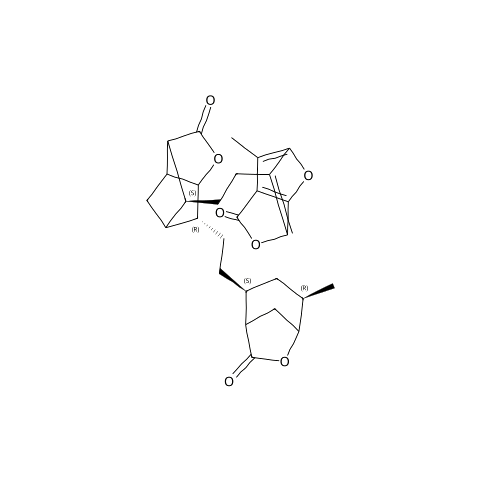 Cc1c2c3oc1c(CC[C@@H]1C4C(=O)OC5C4CC1[C@H]5CC[C@H]1C[C@@H](C)C4CC1C(=O)O4)c3OC2=O